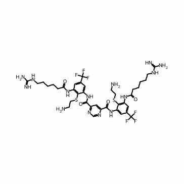 N=C(N)NCCCCCC(=O)Nc1cc(C(F)(F)F)cc(NC(=O)c2cc(C(=O)Nc3cc(C(F)(F)F)cc(NC(=O)CCCCCNC(=N)N)c3SCCN)ncn2)c1SCCN